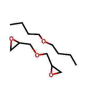 C(OCC1CO1)C1CO1.CCCCOCCCC